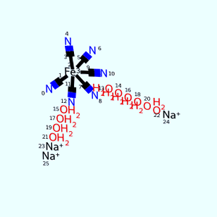 N#[C][Fe-3]([C]#N)([C]#N)([C]#N)([C]#N)[C]#N.O.O.O.O.O.O.O.O.O.O.[Na+].[Na+].[Na+]